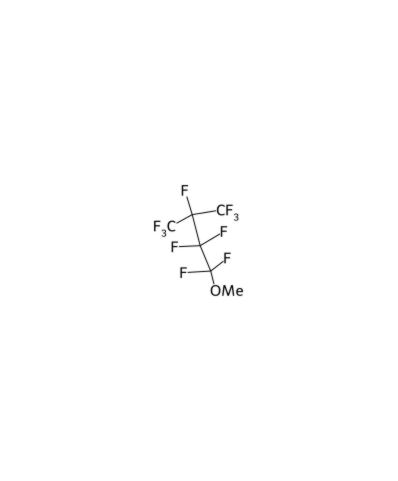 COC(F)(F)C(F)(F)C(F)(C(F)(F)F)C(F)(F)F